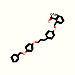 COC(=O)c1ccccc1COc1ccc(CCCOc2ccc(OCc3ccccc3)cc2)cc1